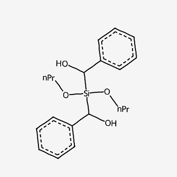 CCCO[Si](OCCC)(C(O)c1ccccc1)C(O)c1ccccc1